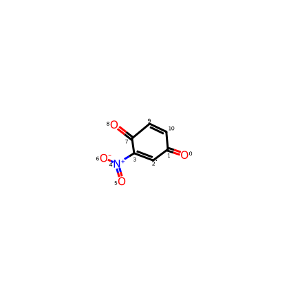 O=C1[C]=C([N+](=O)[O-])C(=O)C=C1